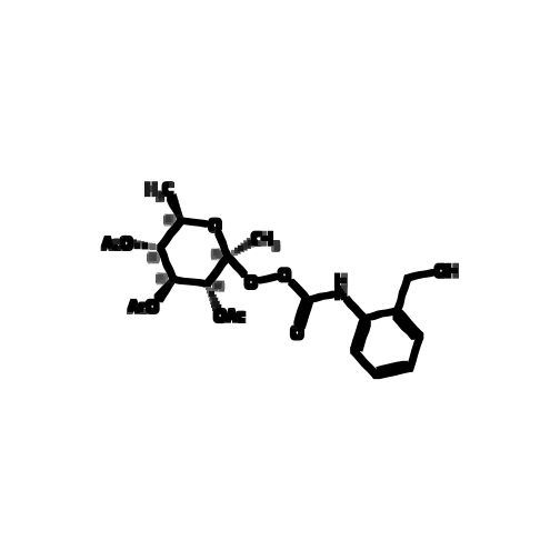 CC(=O)O[C@H]1[C@H](OC(C)=O)[C@@H](C)O[C@@](C)(OOC(=O)Nc2ccccc2CO)[C@@H]1OC(C)=O